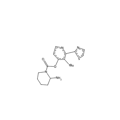 CC(C)(C)c1c(OC(=O)N2CCCCC2N)ccnc1-c1nccs1